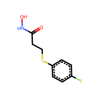 O=C(CCSc1ccc(F)cc1)NO